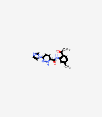 COC(=O)c1ccc(C)cc1NC(=O)C1CCC(n2ccnc2)NN1